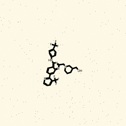 OCC1CCCN(Cc2nc(Nc3ccc(C(F)(F)F)cc3)c3ccc(-c4ncccc4C(F)(F)F)cc3n2)C1